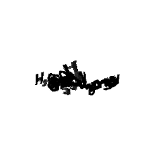 CC(C)(C)C(=O)N1CCC2(CC1)Cc1cc(/C=C/C(=O)N3CC=C(Cc4nccs4)CC3)cnc1NC2=O